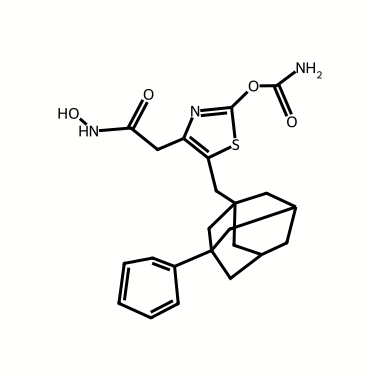 NC(=O)Oc1nc(CC(=O)NO)c(CC23CC4CC(C2)CC(c2ccccc2)(C4)C3)s1